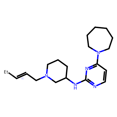 CC/C=C/CN1CCCC(Nc2nccc(N3CCCCCC3)n2)C1